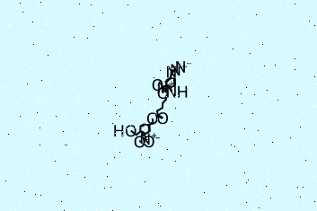 [N-]=[N+]=Nc1ccc(NCCCCCC(=O)OCc2ccc(CO)c([N+](=O)[O-])c2)c([N+](=O)[O-])c1